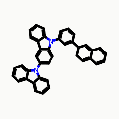 C1=c2ccccc2=CC(c2cccc(-n3c4ccccc4c4cc(-n5c6ccccc6c6ccccc65)ccc43)c2)C1